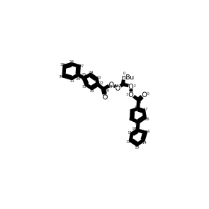 [CH2]CCC[C](OOC(=O)c1ccc(-c2ccccc2)cc1)OOC(=O)c1ccc(-c2ccccc2)cc1